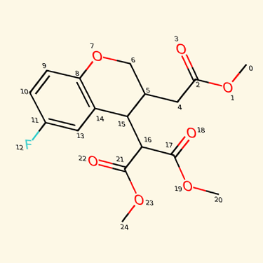 COC(=O)CC1COc2ccc(F)cc2C1C(C(=O)OC)C(=O)OC